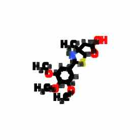 COc1cc(C2=NC(C)(CC(=O)O)CS2)cc(OC)c1OC